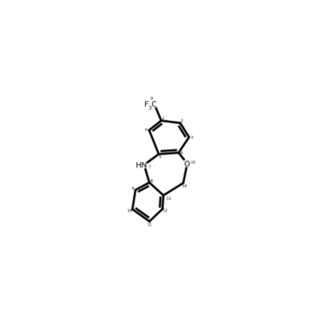 FC(F)(F)c1ccc2c(c1)Nc1ccccc1CO2